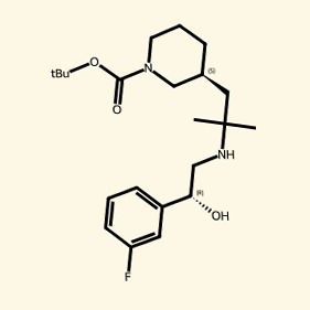 CC(C)(C[C@@H]1CCCN(C(=O)OC(C)(C)C)C1)NC[C@H](O)c1cccc(F)c1